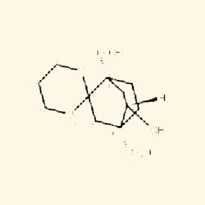 CCOC(=O)[C@@]12CC[C@@](C(=O)OCC)(C[C@@H]1O)C1(C2)OCCCO1